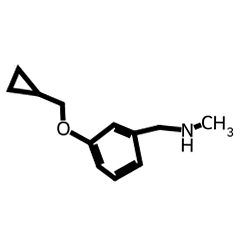 CNCc1cccc(OCC2CC2)c1